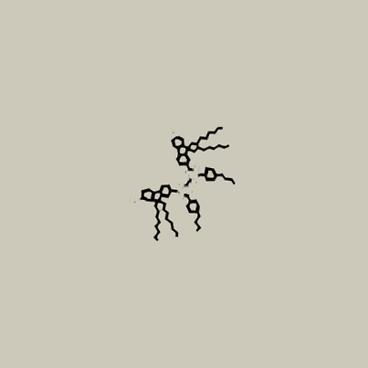 CCCCCCCCC1(CCCCCCCC)c2cc(Br)ccc2-c2ccc(-c3nc(-c4ccc(CCCC)cc4)nc(-c4nc(-c5ccc(CCCC)cc5)nc(-c5ccc6c(c5)C(CCCCCCCC)(CCCCCCCC)c5cc(Br)ccc5-6)n4)n3)cc21